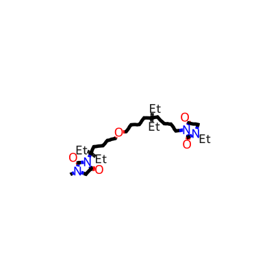 CCN1CC(=O)N(CCCCC(CC)(CC)CCCCOCCCCC(CC)(CC)N2C(=O)CN(C)C2=O)C1=O